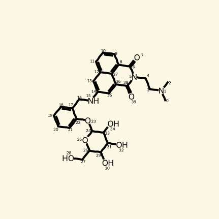 CN(C)CCN1C(=O)c2cccc3cc(NCc4ccccc4OC4OC(CO)C(O)C(O)C4O)cc(c23)C1=O